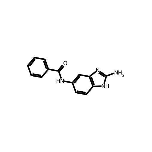 Nc1nc2cc(NC(=O)c3ccccc3)ccc2[nH]1